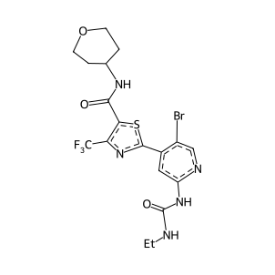 CCNC(=O)Nc1cc(-c2nc(C(F)(F)F)c(C(=O)NC3CCOCC3)s2)c(Br)cn1